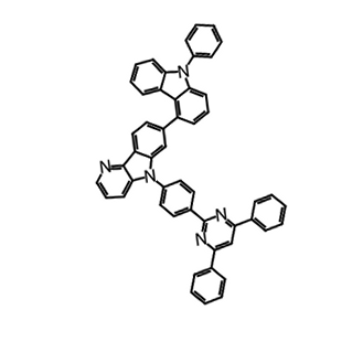 c1ccc(-c2cc(-c3ccccc3)nc(-c3ccc(-n4c5cc(-c6cccc7c6c6ccccc6n7-c6ccccc6)ccc5c5ncccc54)cc3)n2)cc1